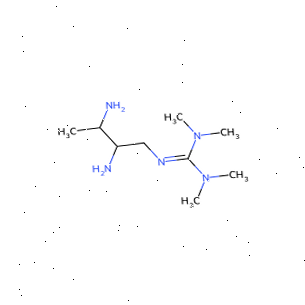 CC(N)C(N)CN=C(N(C)C)N(C)C